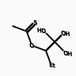 CCC(OC(C)=S)C(O)(O)O